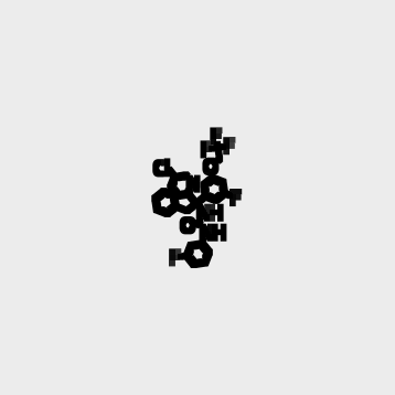 O=C(Nc1cccc(F)c1)NC(Cc1ccccc1)(c1cc(F)cc(OCC(F)(F)F)c1)c1ccc(Cl)cn1